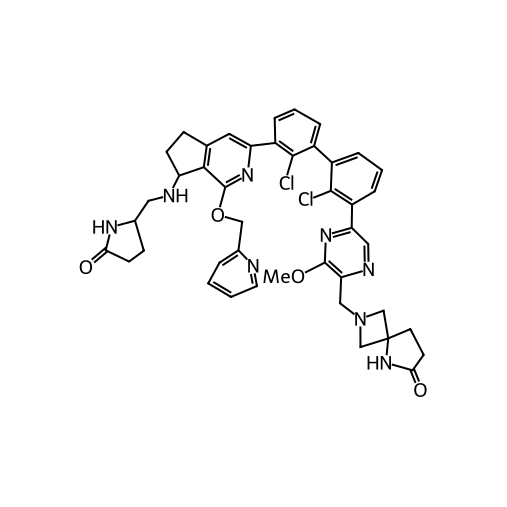 COc1nc(-c2cccc(-c3cccc(-c4cc5c(c(OCc6ccccn6)n4)C(NCC4CCC(=O)N4)CC5)c3Cl)c2Cl)cnc1CN1CC2(CCC(=O)N2)C1